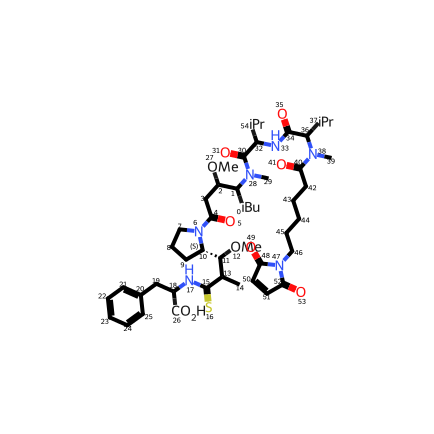 CCC(C)C(C(CC(=O)N1CCC[C@H]1C(OC)C(C)C(=S)NC(Cc1ccccc1)C(=O)O)OC)N(C)C(=O)C(NC(=O)C(C(C)C)N(C)C(=O)CCCCCN1C(=O)C=CC1=O)C(C)C